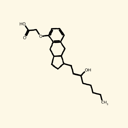 CCCCCC(O)CCC1CCC2Cc3c(cccc3OCC(=O)O)CC12